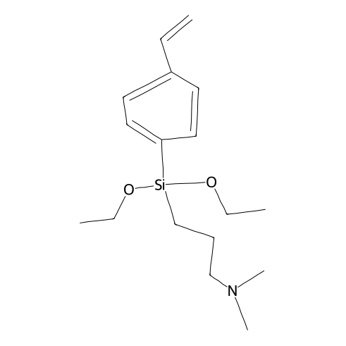 C=Cc1ccc([Si](CCCN(C)C)(OCC)OCC)cc1